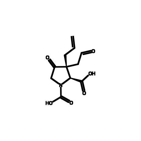 C=CC[C@]1(CC=O)C(=O)CN(C(=O)O)[C@@H]1C(=O)O